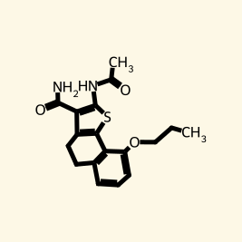 CCCOc1cccc2c1-c1sc(NC(C)=O)c(C(N)=O)c1CC2